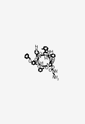 Cc1cccc2[nH]cc(C[C@H]3NC(=O)[C@H](c4ccccc4)NC(=O)[C@@H]4C[C@@H](OC(=O)NCCN)CN4C(=O)[C@H](Cc4ccccc4)NC(=O)[C@H](Cc4ccc(OCc5ccccc5)cc4)NC(=O)[C@H](CC4CCNCC4)NC3=O)c12